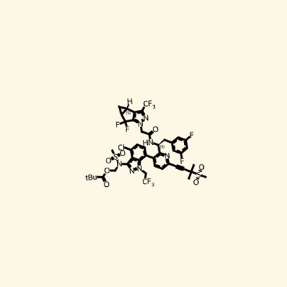 CC(C)(C)C(=O)OCN(c1nn(CC(F)(F)F)c2c(-c3ccc(C#CC(C)(C)S(C)(=O)=O)nc3[C@H](Cc3cc(F)cc(F)c3)NC(=O)Cn3nc(C(F)(F)F)c4c3C(F)(F)C3C[C@H]43)ccc(Cl)c12)S(C)(=O)=O